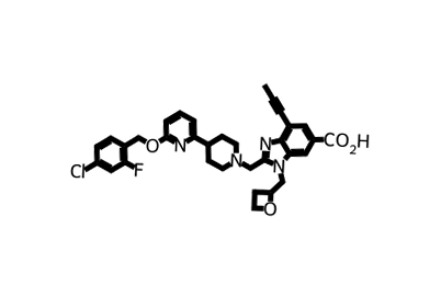 CC#Cc1cc(C(=O)O)cc2c1nc(CN1CCC(c3cccc(OCc4ccc(Cl)cc4F)n3)CC1)n2CC1CCO1